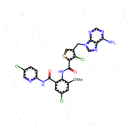 COc1cc(Cl)cc(C(=O)Nc2ccc(Cl)cn2)c1NC(=O)c1scc(Cn2cnc3c(N)ncnc32)c1Cl